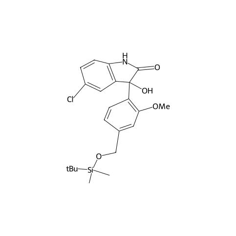 COc1cc(CO[Si](C)(C)C(C)(C)C)ccc1C1(O)C(=O)Nc2ccc(Cl)cc21